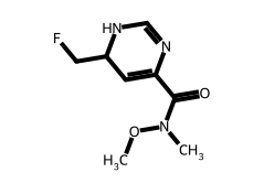 CON(C)C(=O)C1=CC(CF)NC=N1